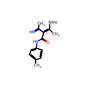 CN/C(C)=C(\C(C)=N)C(=O)Nc1ccc(C)cc1